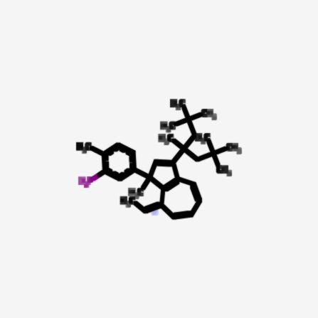 C/C=C1/C=CC=CC2=C1C(C)(c1ccc(C)c(P)c1)C=C2C(C)(CC(C)(C)C)CC(C)(C)C